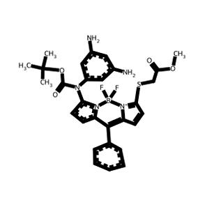 COC(=O)CSC1=[N+]2C(=C(c3ccccc3)c3ccc(N(C(=O)OC(C)(C)C)c4cc(N)cc(N)c4)n3[B-]2(F)F)C=C1